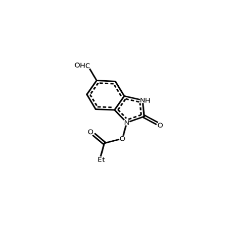 CCC(=O)On1c(=O)[nH]c2cc(C=O)ccc21